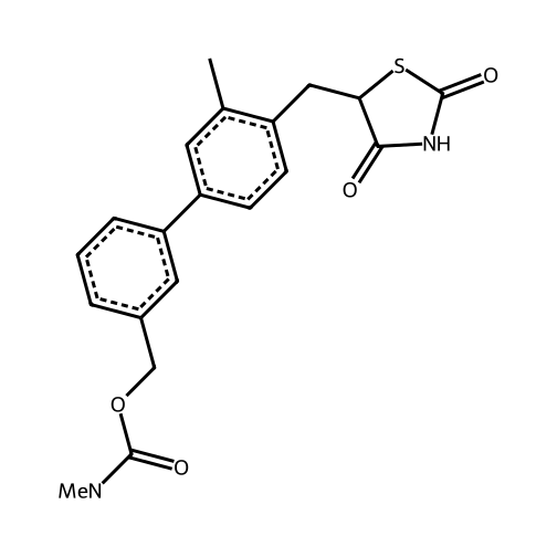 CNC(=O)OCc1cccc(-c2ccc(CC3SC(=O)NC3=O)c(C)c2)c1